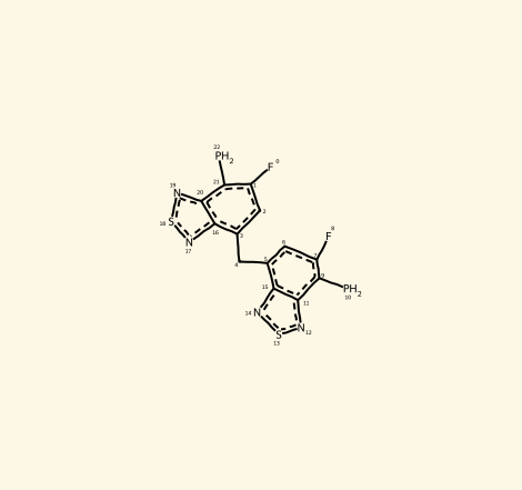 Fc1cc(Cc2cc(F)c(P)c3nsnc23)c2nsnc2c1P